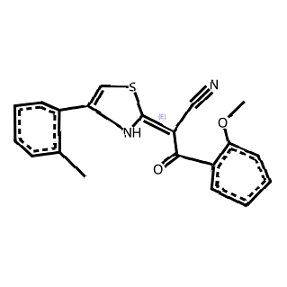 COc1ccccc1C(=O)/C(C#N)=C1\NC(c2ccccc2C)=CS1